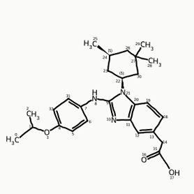 CC(C)Oc1ccc(Nc2nc3cc(CC(=O)O)ccc3n2[C@H]2C[C@@H](C)CC(C)(C)C2)cc1